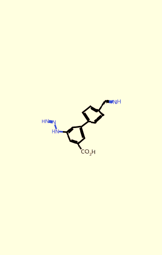 N=Cc1ccc(-c2cc(NN=N)cc(C(=O)O)c2)cc1